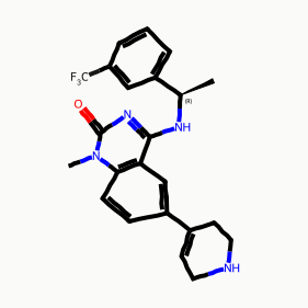 C[C@@H](Nc1nc(=O)n(C)c2ccc(C3=CCNCC3)cc12)c1cccc(C(F)(F)F)c1